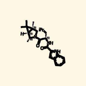 CC(C)C[C@H](NC(=O)c1cc2ccccc2[nH]1)C(=O)N1C[C@@]2(C)[C@@H]([C@H]1C)C2(C)C